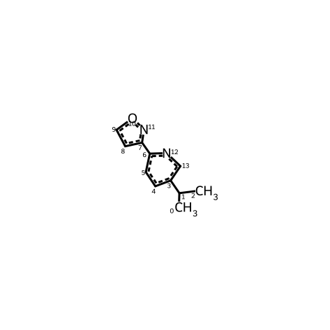 CC(C)c1ccc(-c2ccon2)nc1